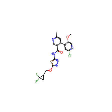 COc1cnc(Cl)cc1-c1cc(C)ncc1C(=O)Nc1nnc(OCC2CC2(F)F)s1